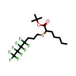 CCCCCC(SCCCC(F)(F)C(F)(F)C(F)(F)C(F)(F)F)C(=O)OC(C)(C)C